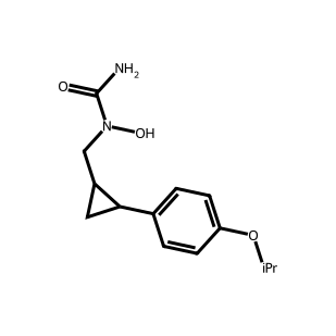 CC(C)Oc1ccc(C2CC2CN(O)C(N)=O)cc1